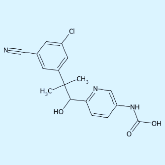 CC(C)(c1cc(Cl)cc(C#N)c1)C(O)c1ccc(NC(=O)O)cn1